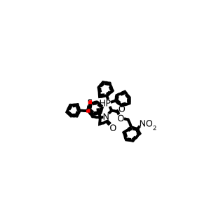 CC1(CC(=S)c2ccccc2)CC(=O)N1C(C(=O)OCc1ccccc1[N+](=O)[O-])[PH](c1ccccc1)(c1ccccc1)c1ccccc1